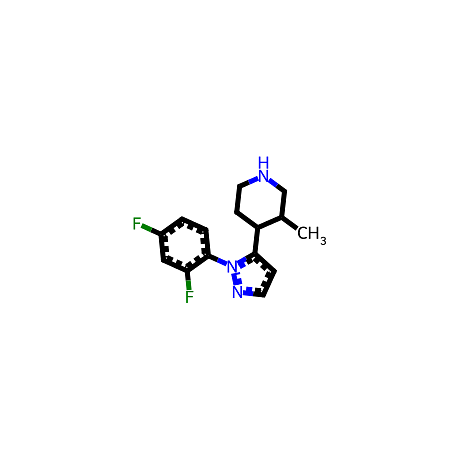 CC1CNCCC1c1ccnn1-c1ccc(F)cc1F